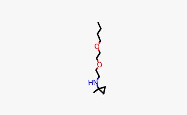 CCCCOCCOCCNC1(C)CC1